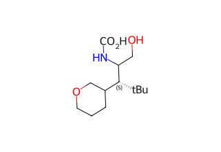 CC(C)(C)[C@H](C1CCCOC1)C(CO)NC(=O)O